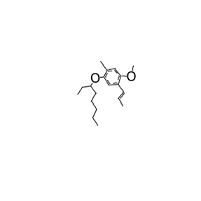 C/C=C/c1cc(OC(CC)CCCCC)c(C)cc1OC